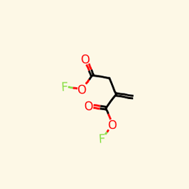 C=C(CC(=O)OF)C(=O)OF